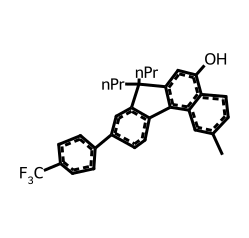 CCCC1(CCC)c2cc(-c3ccc(C(F)(F)F)cc3)ccc2-c2c1cc(O)c1ccc(C)cc21